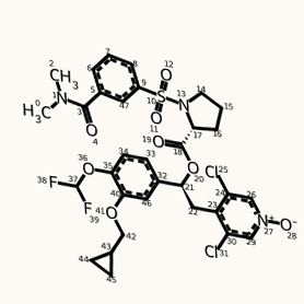 CN(C)C(=O)c1cccc(S(=O)(=O)N2CCC[C@@H]2C(=O)O[C@@H](Cc2c(Cl)c[n+]([O-])cc2Cl)c2ccc(OC(F)F)c(OCC3CC3)c2)c1